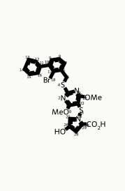 COc1nc(SCc2cccc(-c3ccccc3)c2Br)nc(OC)c1Sn1cc(O)cc1C(=O)O